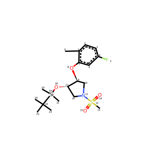 Cc1ccc(F)cc1O[C@H]1CN(S(C)(=O)=O)C[C@@H]1O[Si](C)(C)C(C)(C)C